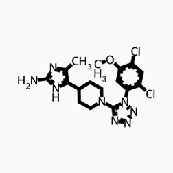 COc1cc(-n2nnnc2N2CCC(c3[nH]c(N)nc3C)CC2)c(Cl)cc1Cl